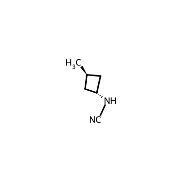 C[C@H]1C[C@H](NC#N)C1